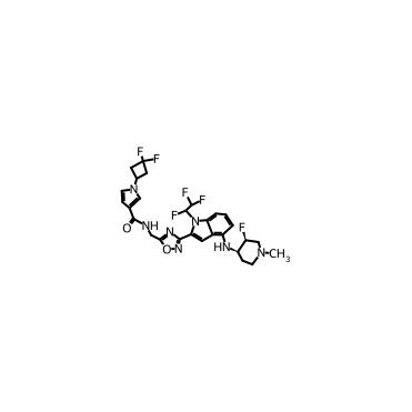 CN1CC[C@@H](Nc2cccc3c2cc(-c2noc(CNC(=O)c4ccn(C5CC(F)(F)C5)c4)n2)n3C(F)C(F)F)[C@@H](F)C1